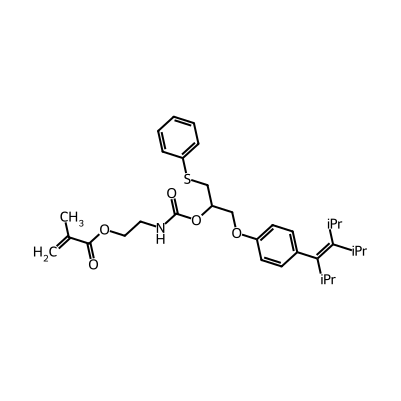 C=C(C)C(=O)OCCNC(=O)OC(COc1ccc(C(=C(C(C)C)C(C)C)C(C)C)cc1)CSc1ccccc1